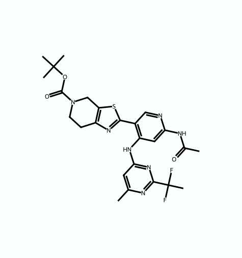 CC(=O)Nc1cc(Nc2cc(C)nc(C(C)(F)F)n2)c(-c2nc3c(s2)CN(C(=O)OC(C)(C)C)CC3)cn1